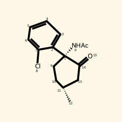 CC(=O)N[C@@]1(c2ccccc2Cl)CC[C@@H](C)CC1=O